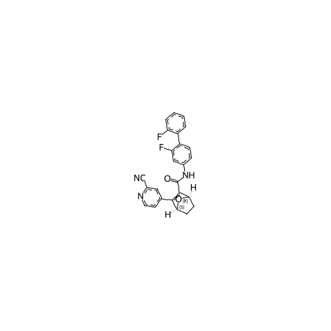 N#Cc1cc(C2=C(C(=O)Nc3ccc(-c4ccccc4F)c(F)c3)[C@H]3CC[C@@H]2O3)ccn1